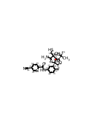 CC(C)(F)[C@@H]1C[C@](/N=C(/N)[C@](C)(C#N)CS)(c2cc(NC(=O)c3ccc(C#N)cn3)ccc2F)CO1